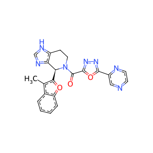 Cc1c([C@H]2c3nc[nH]c3CCN2C(=O)c2nnc(-c3cnccn3)o2)oc2ccccc12